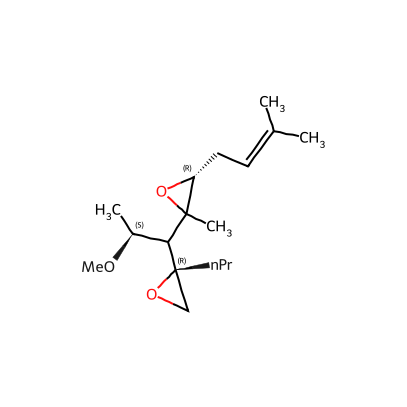 CCC[C@@]1(C([C@H](C)OC)C2(C)O[C@@H]2CC=C(C)C)CO1